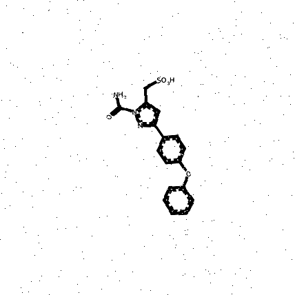 NC(=O)n1nc(-c2ccc(Oc3ccccc3)cc2)cc1CS(=O)(=O)O